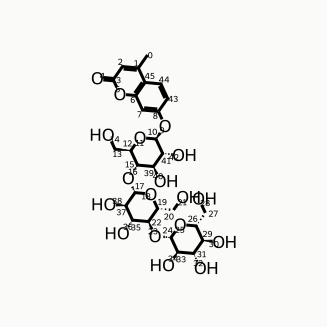 Cc1cc(=O)oc2cc(O[C@@H]3O[C@H](CO)[C@@H](O[C@@H]4O[C@H](CO)[C@@H](O[C@@H]5O[C@H](CO)[C@@H](O)[C@H](O)[C@H]5O)[C@H](O)[C@H]4O)[C@H](O)[C@H]3O)ccc12